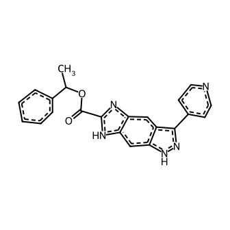 CC(OC(=O)c1nc2cc3c(-c4ccncc4)n[nH]c3cc2[nH]1)c1ccccc1